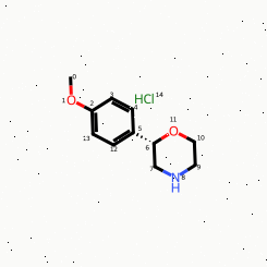 COc1ccc([C@H]2CNCCO2)cc1.Cl